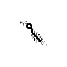 Cc1ccc(C=CC(F)(F)C(F)(F)C(F)(F)C(F)(F)C(F)(F)C(F)(F)F)cc1